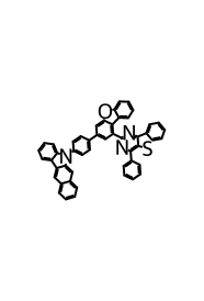 c1ccc(-c2nc(-c3cc(-c4ccc(-n5c6ccccc6c6cc7ccccc7cc65)cc4)cc4oc5ccccc5c34)nc3c2sc2ccccc23)cc1